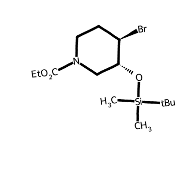 CCOC(=O)N1CC[C@@H](Br)[C@H](O[Si](C)(C)C(C)(C)C)C1